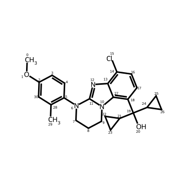 COc1ccc(N2CCCn3c2nc2c(Cl)ccc(C(O)(C4CC4)C4CC4)c23)c(C)c1